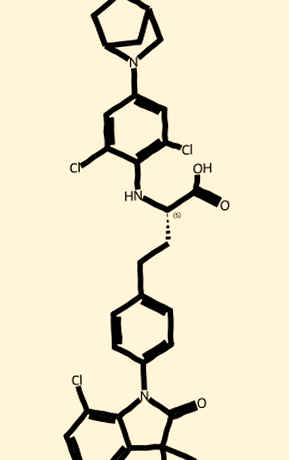 O=C(O)[C@H](CCc1ccc(N2C(=O)C3(CC3)c3cccc(Cl)c32)cc1)Nc1c(Cl)cc(N2CC3CC2CO3)cc1Cl